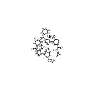 Cc1ccc(C(=O)NC2CC2)cc1-n1ncc(C(=O)c2ccccc2)c1N.Cc1ccc(C(=O)O)cc1-n1ncc(C(=O)c2cccc(I)c2)c1N